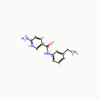 CCc1cccc(NC(=O)c2ccc(N)nc2)c1